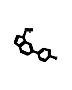 O=C(O)n1ccc2ccc(-c3ccc(F)cc3)cc21